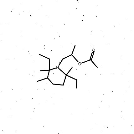 CCC1(C)CCC(C)C(C)(CC)N1CC(C)OC(C)=O